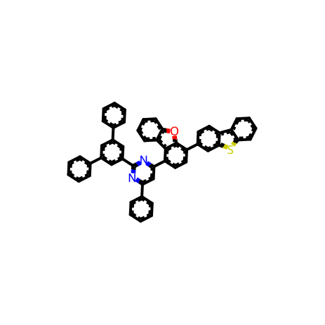 c1ccc(-c2cc(-c3ccccc3)cc(-c3nc(-c4ccccc4)cc(-c4ccc(-c5ccc6c(c5)sc5ccccc56)c5oc6ccccc6c45)n3)c2)cc1